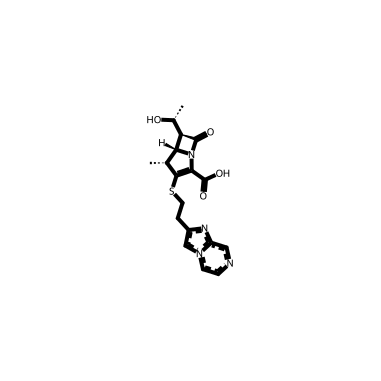 C[C@@H](O)[C@H]1C(=O)N2C(C(=O)O)=C(SCCc3cn4ccncc4n3)[C@H](C)[C@H]12